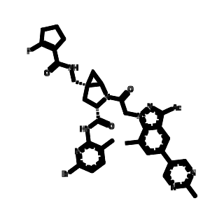 CC(=O)c1nn(CC(=O)N2C3C[C@]3(CNC(=O)C3=C(F)CCC3)C[C@H]2C(=O)Nc2nc(Br)ccc2C)c2c(C)cc(-c3cnc(C)nc3)cc12